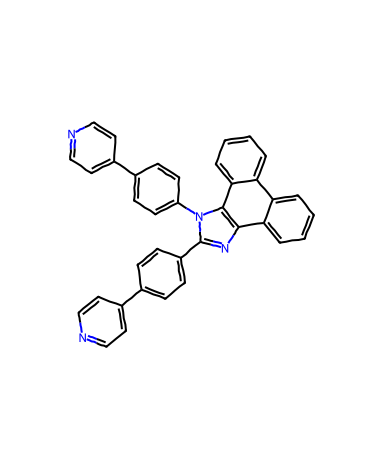 c1ccc2c(c1)c1ccccc1c1c2nc(-c2ccc(-c3ccncc3)cc2)n1-c1ccc(-c2ccncc2)cc1